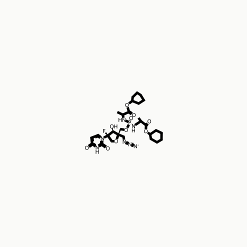 CC(NP(=O)(NC(C)C(=O)OC1CCCCC1)OC[C@@]1(CN=[N+]=[N-])OC[C@](F)(n2ccc(=O)[nH]c2=O)[C@@H]1O)C(=O)OC1CCCCC1